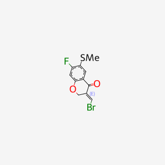 CSc1cc2c(cc1F)OC/C(=C\Br)C2=O